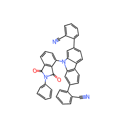 N#Cc1ccccc1-c1ccc2c3ccc(-c4ccccc4C#N)cc3n(-c3cccc4c3C(=O)N(c3ccccc3)C4=O)c2c1